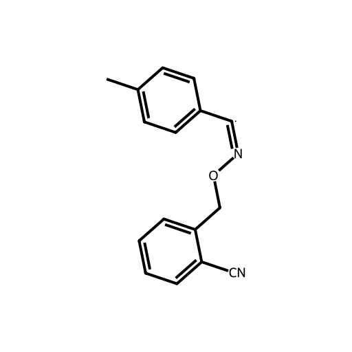 Cc1ccc(/[C]=N\OCc2ccccc2C#N)cc1